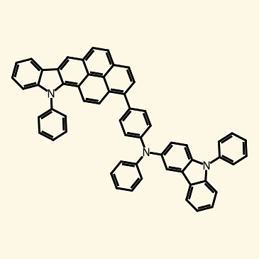 c1ccc(N(c2ccc(-c3ccc4ccc5cc6c7ccccc7n(-c7ccccc7)c6c6ccc3c4c56)cc2)c2ccc3c(c2)c2ccccc2n3-c2ccccc2)cc1